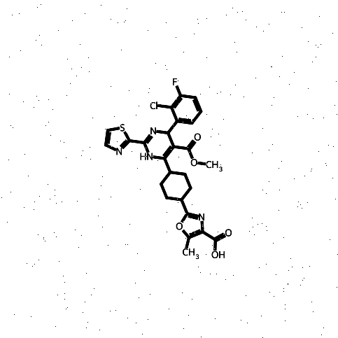 COC(=O)C1=C(C2CCC(c3nc(C(=O)O)c(C)o3)CC2)NC(c2nccs2)=NC1c1cccc(F)c1Cl